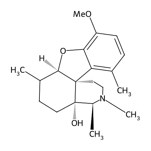 COc1ccc(C)c2c1O[C@@H]1C(C)CC[C@]3(O)[C@H](C)N(C)CC[C@@]213